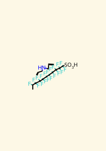 C=CCNCC=C.CC(F)C(F)(F)C(F)(F)C(F)(F)C(F)(F)C(F)(F)C(F)(F)C(F)(F)C(F)(F)C(F)(F)S(=O)(=O)O